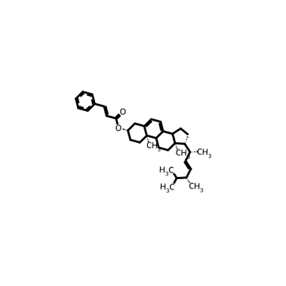 CC(C)[C@@H](C)C=C[C@@H](C)[C@H]1CCC2C3=CC=C4C[C@@H](OC(=O)C=Cc5ccccc5)CC[C@]4(C)C3CC[C@@]21C